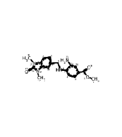 COC(=O)c1ccc(NCc2ccc3c(c2)n(C)c(=O)n3C)c(N)c1